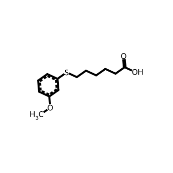 COc1cccc(SCCCCCC(=O)O)c1